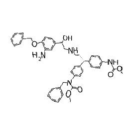 COC(=O)Nc1ccc([C@@H](CCNCC(O)c2ccc(OCc3ccccc3)c(N)c2)c2ccc(N(Cc3ccccc3)C(=O)OC)cc2)cc1